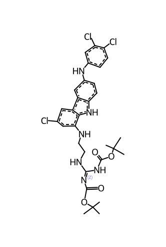 CC(C)(C)OC(=O)/N=C(/NCCNc1cc(Cl)cc2c1[nH]c1ccc(Nc3ccc(Cl)c(Cl)c3)cc12)NC(=O)OC(C)(C)C